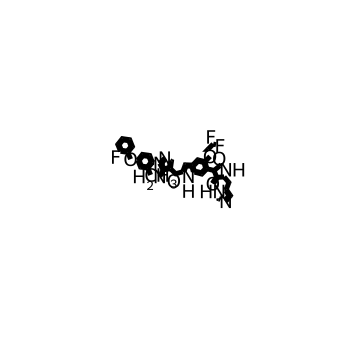 Cc1cc(Oc2ccccc2F)ccc1-n1ncc(C(=O)c2cc3cc(OCC(F)F)c(C4C(=O)NC(Cc5cnc[nH]5)C4=O)cc3[nH]2)c1N